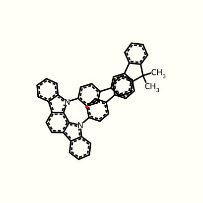 CC1(C)c2ccccc2-c2cc(-c3ccc(-n4c5ccccc5c5ccc6c7ccccc7n(-c7ccc(-c8ccccc8)cc7)c6c54)cc3)ccc21